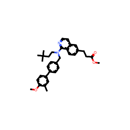 COC(=O)CCc1ccc2c(N(CCC(C)(C)C)Cc3ccc(-c4ccc(OC)c(C)c4)cc3)nccc2c1